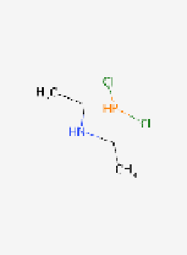 CCNCC.ClPCl